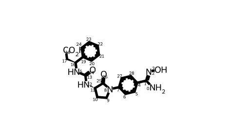 NC(=NO)c1ccc(N2CC[C@H](NC(=O)N[C@@H](CC(=O)O)c3ccccc3)C2=O)cc1